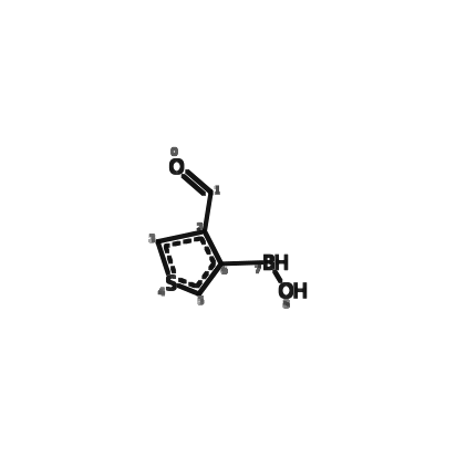 O=Cc1cscc1BO